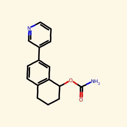 NC(=O)OC1CCCc2ccc(-c3cccnc3)cc21